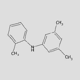 Cc1cc(C)cc(Nc2ccccc2C)c1